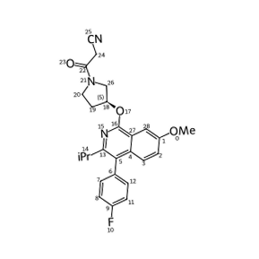 COc1ccc2c(-c3ccc(F)cc3)c(C(C)C)nc(O[C@H]3CCN(C(=O)CC#N)C3)c2c1